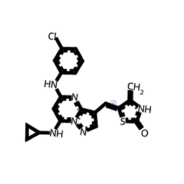 C=c1[nH]c(=O)s/c1=C\c1cnn2c(NC3CC3)cc(Nc3cccc(Cl)c3)nc12